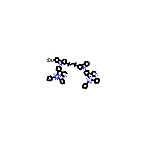 CC(C)(C)c1ccc2c3ccc(C(C)(C)CCC(C)(C)c4ccc5c(c4)c4ccccc4n5-c4ccc(-c5nc(-c6ccccc6)nc(-c6ccccc6)n5)c(-c5ccncc5)c4)cc3n(-c3ccc(-c4nc(-c5ccccc5)nc(-c5ccccc5)n4)c(-c4ccncc4)c3)c2c1